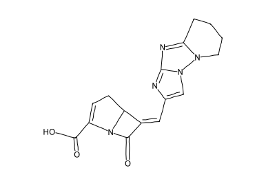 O=C(O)C1=CCC2/C(=C\c3cn4c(n3)nc3n4CCCC3)C(=O)N12